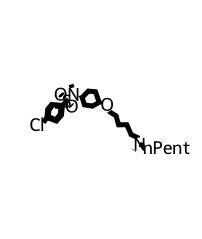 CCCCCN(C)CCCCCCO[C@H]1CC[C@H](N(C)S(=O)(=O)c2ccc(Cl)cc2)CC1